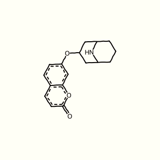 O=c1ccc2ccc(OC3CC4CCCC(C3)N4)cc2o1